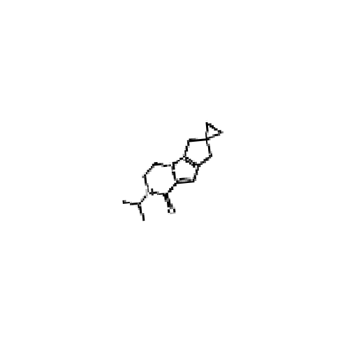 CC(C)N1CCn2c(cc3c2CC2(CC2)C3)C1=O